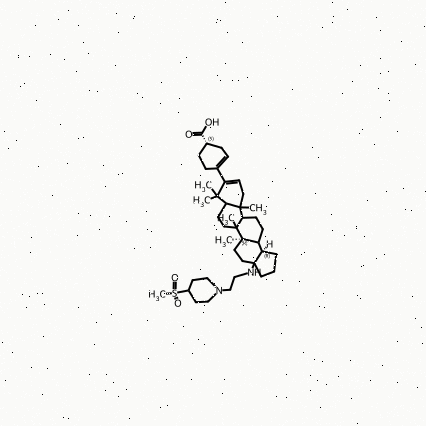 CC1(C)C(C2=CC[C@@H](C(=O)O)CC2)=CCC2(C)C1CCC1(C)C2CCC2[C@H]3CCCC3(NCCN3CCC(S(C)(=O)=O)CC3)CC[C@]21C